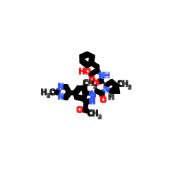 CC(=O)c1nn(CC(=O)N2[C@H](C(=O)NC(Cc3ccccc3)C(=O)O)C[C@@]3(C)C[C@@H]23)c2c(C)cc(-c3cnc(C)nc3)cc12